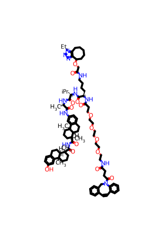 CCn1nnc2c1CCCCCC2OCC(=O)NCCCC[C@@H](NC(=O)CCOCCOCCOCCOCCNC(=O)CCC(=O)N1Cc2ccccc2C#Cc2ccccc21)C(=O)N[C@H](C(=O)N[C@@H](C)C(=O)Nc1ccc2c(c1)[C@@]1(C)CCC[C@](C)(C(=O)NC(=O)[C@@]3(C)CCC[C@]4(C)c5cc(O)ccc5CC[C@@H]34)[C@@H]1CC2)C(C)C